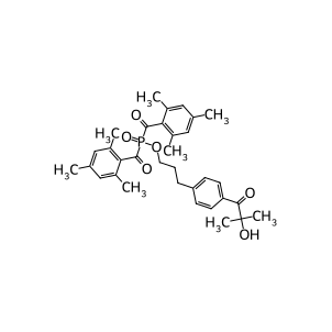 Cc1cc(C)c(C(=O)P(=O)(OCCCc2ccc(C(=O)C(C)(C)O)cc2)C(=O)c2c(C)cc(C)cc2C)c(C)c1